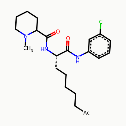 CC(=O)CCCCC[C@H](NC(=O)C1CCCCN1C)C(=O)Nc1cccc(Cl)c1